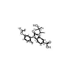 CC(n1c(=O)n(-c2cc(OC(F)F)ccc2F)c2ccc(C(=O)O)cc21)C(C)(C)O